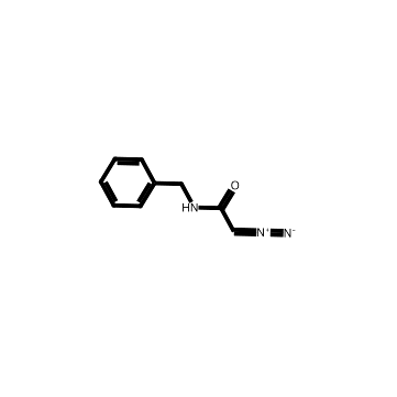 [N-]=[N+]=CC(=O)NCc1ccccc1